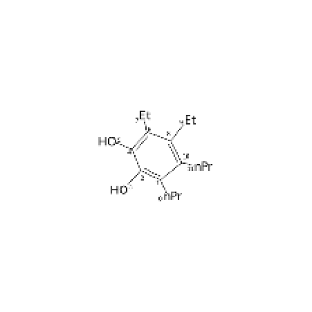 CCCc1c(O)c(O)c(CC)c(CC)c1CCC